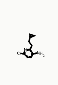 Nc1ccc(Cl)nc1CCC1CC1